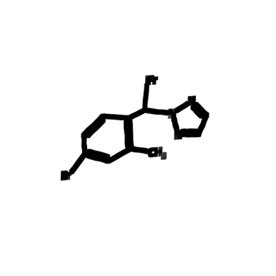 Cc1cc(Br)ccc1C(C(C)C)n1nccn1